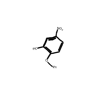 [CH]c1cc([N+](=O)[O-])ccc1OC(C)C